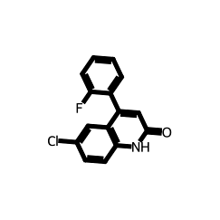 O=c1cc(-c2ccccc2F)c2cc(Cl)ccc2[nH]1